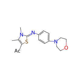 CC(=O)c1s/c(=N\c2ccc(N3CCOCC3)cc2)n(C)c1C